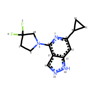 FC1(F)CCN(c2nc(C3CC3)cc3[nH]ncc23)C1